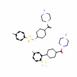 CC(C)N1CCN(C(=O)C2CCC(NS(=O)(=O)c3ccc(C(F)(F)F)cc3)CC2)CC1.CC(C)N1CCN(C(=O)C2CCC(c3cc(C(F)(F)F)ccc3S(N)(=O)=O)CC2)CC1